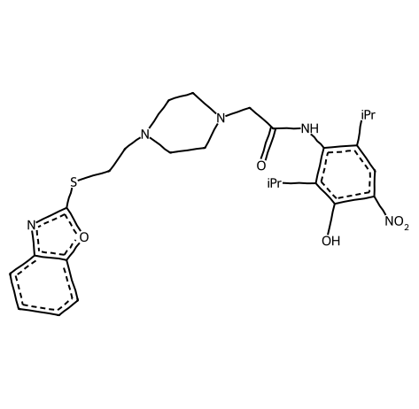 CC(C)c1cc([N+](=O)[O-])c(O)c(C(C)C)c1NC(=O)CN1CCN(CCSc2nc3ccccc3o2)CC1